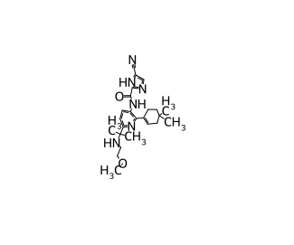 COCCNC(C)(C)c1ccc(NC(=O)c2ncc(C#N)[nH]2)c(C2=CCC(C)(C)CC2)n1